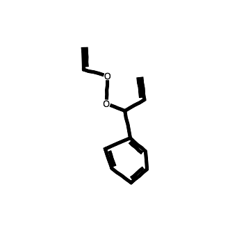 C=COOC(C=C)c1ccccc1